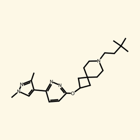 Cc1nn(C)cc1-c1ccc(OC2CC3(CCN(CCC(C)(C)C)CC3)C2)nn1